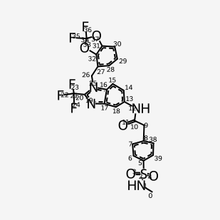 CNS(=O)(=O)c1ccc(CC(=O)Nc2ccc3c(c2)nc(C(F)(F)F)n3Cc2cccc3c2OC(F)(F)O3)cc1